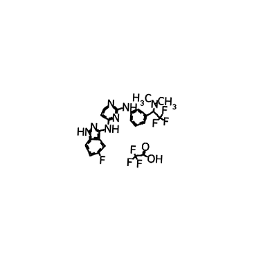 CN(C)C(c1cccc(Nc2nccc(Nc3n[nH]c4ccc(F)cc34)n2)c1)C(F)(F)F.O=C(O)C(F)(F)F